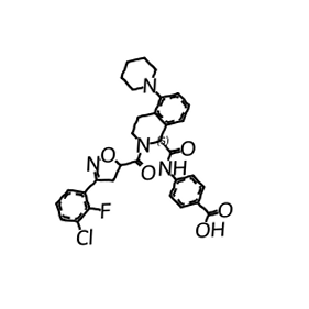 O=C(O)c1ccc(NC(=O)[C@@H]2c3cccc(N4CCCCC4)c3CCN2C(=O)C2CC(c3cccc(Cl)c3F)=NO2)cc1